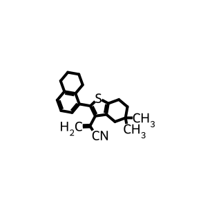 C=C(C#N)c1c(-c2cccc3c2CCCC3)sc2c1CC(C)(C)CC2